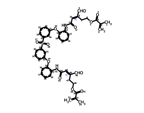 C=C(C)C(=O)OCC/C(C=O)=C\C(=O)Nc1ccccc1Oc1cccc(S(=O)(=O)c2cccc(Oc3ccccc3NC(=O)/C=C(/C=O)CCOC(=O)C(=C)C)c2)c1